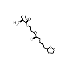 C=C(C)C(=O)OCCOC(=O)CCCCC1CCSS1